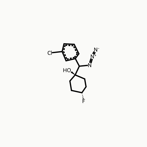 [N-]=[N+]=NC(c1cccc(Cl)c1)[C@]1(O)CC[C@H](F)CC1